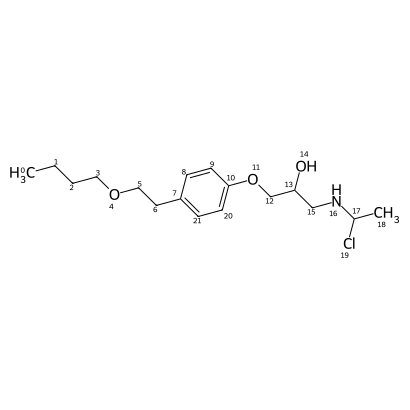 CCCCOCCc1ccc(OCC(O)CNC(C)Cl)cc1